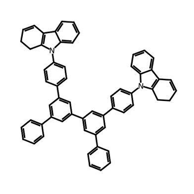 C1=Cc2c(n(-c3ccc(-c4cc(-c5ccccc5)cc(-c5cc(-c6ccccc6)cc(-c6ccc(-n7c8c(c9ccccc97)C=CCC8)cc6)c5)c4)cc3)c3ccccc23)CC1